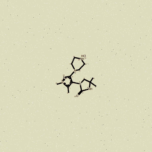 Cc1c(N2CC(C)(C)NC2=O)c(N2CCNCC2)nn1C.Cl